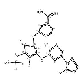 Cn1ccnc1-c1cccc(Oc2nc(Oc3cc(C(=N)N)ccc3O)c(F)c(OC(C)(C)C(=O)O)c2F)c1